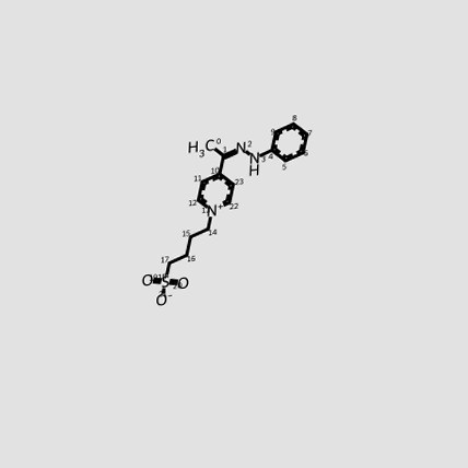 C/C(=N/Nc1ccccc1)c1cc[n+](CCCCS(=O)(=O)[O-])cc1